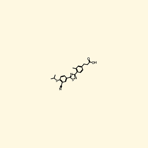 Cc1cc(CCC(=O)O)ccc1-c1nsc(-c2ccc(SC(C)C)c(C#N)c2)n1